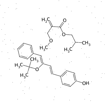 C=C(COC)C(=O)OCC(C)C.CC(C)(C)OC(C=Cc1ccc(O)cc1)=Cc1ccccc1